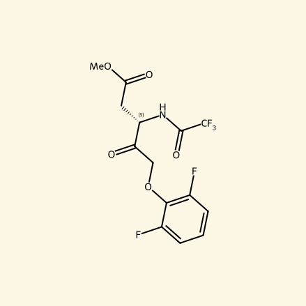 COC(=O)C[C@H](NC(=O)C(F)(F)F)C(=O)COc1c(F)cccc1F